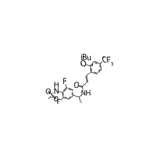 CCC(C)Oc1cc(C(F)(F)F)ccc1C=CC(=O)NC(C)c1cc(F)c(NS(C)(=O)=O)c(F)c1